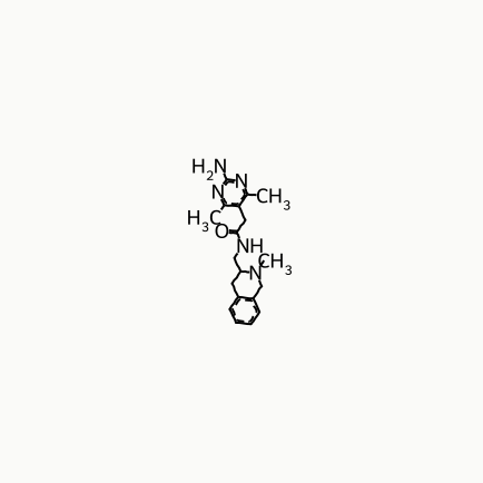 Cc1nc(N)nc(C)c1CC(=O)NCC1Cc2ccccc2CN1C